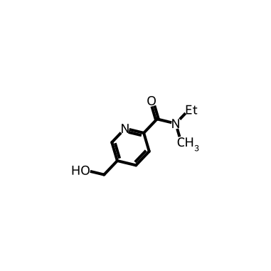 CCN(C)C(=O)c1ccc(CO)cn1